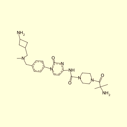 CN(Cc1ccc(-n2ccc(NC(=O)N3CCN(C(=O)C(C)(C)N)CC3)nc2=O)cc1)CC1CC(N)C1